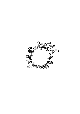 CCCC[C@H]1C(=O)N(C)CC(=O)N[C@@H](CC(=O)O)C(=O)N[C@@H](C(C)C)C(=O)N(C)[C@@H](Cc2ccccc2)C(=O)NC(Cc2ccc(O)cc2)C(=O)N(C)CC(=O)N[C@@H](Cc2c[nH]c3ccccc23)C(=O)N[C@@H](Cc2ccc(O)cc2)C(=O)N[C@@H](CCC(=O)O)C(=O)N[C@H](C(=O)NCC(N)=O)CSCC(=O)N[C@@H](Cc2ccccc2)C(=O)N(C)[C@@H](Cc2ccccc2)C(=O)N1C